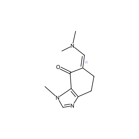 CN(C)/C=C1/CCc2ncn(C)c2C1=O